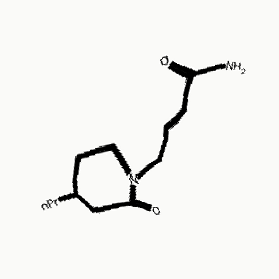 CCCC1CCN(CCCC(N)=O)C(=O)C1